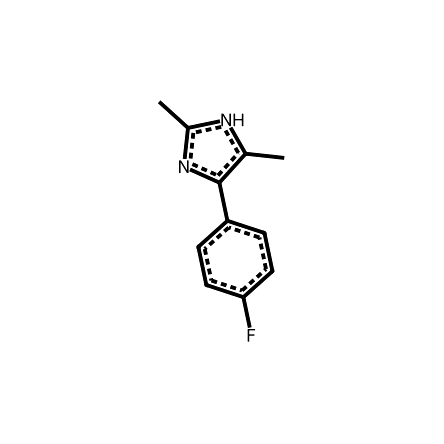 Cc1nc(-c2ccc(F)cc2)c(C)[nH]1